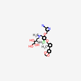 Cc1c(COc2cc(OCc3cncc(C#N)c3)c(CN(C)CCC([SiH3])[C@H](O)[C@H](O)CO)cc2Cl)cccc1-c1ccc2c(c1)OCCO2